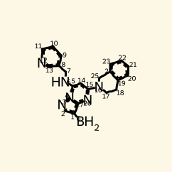 Bc1cnn2c(NCc3cccnc3)cc(N3CCc4ccccc4C3)nc12